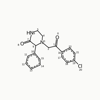 O=C(CN1CCNC(=O)C1c1ccccc1)c1ccc(Cl)cc1